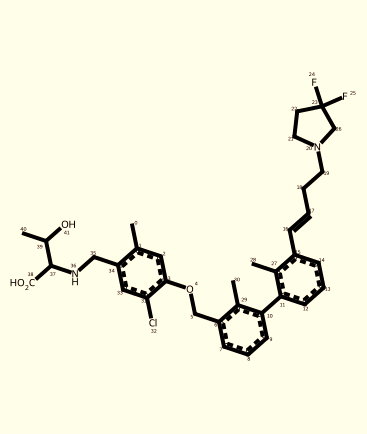 Cc1cc(OCc2cccc(-c3cccc(/C=C/CCN4CCC(F)(F)C4)c3C)c2C)c(Cl)cc1CNC(C(=O)O)C(C)O